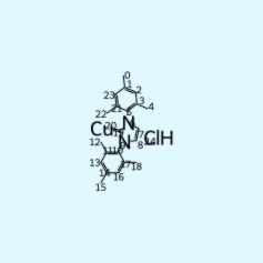 Cc1cc(C)c(-n2ccn(-c3c(C)cc(C)cc3C)[c]2=[Cu])c(C)c1.Cl